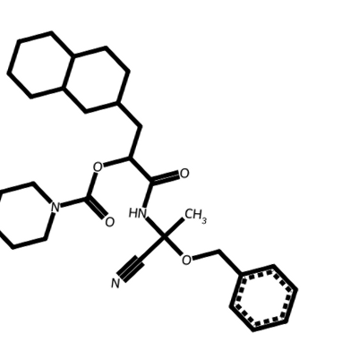 CC(C#N)(NC(=O)C(CC1CCC2CCCCC2C1)OC(=O)N1CCOCC1)OCc1ccccc1